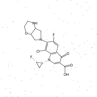 O=C(O)c1cn([C@@H]2C[C@@H]2F)c2c(Cl)c(N3CC4NCCOC4C3)c(F)cc2c1=O